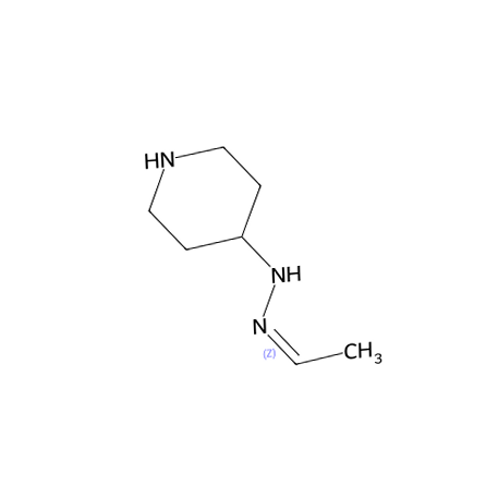 C/C=N\NC1CCNCC1